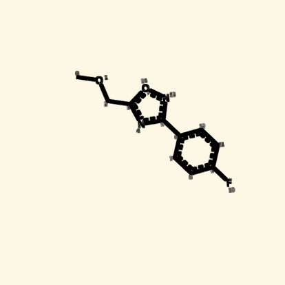 COCc1nc(-c2ccc(F)cc2)no1